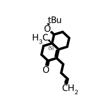 C=CCCC1=C2CCCC(OC(C)(C)C)[C@@]2(C)CCC1=O